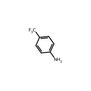 Nc1c[c]c(C(F)(F)F)cc1